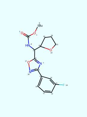 CC(C)(C)OC(=O)NC(c1nc(-c2cccc(F)c2)no1)C1CCCO1